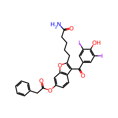 NC(=O)CCCCc1oc2cc(OC(=O)Cc3ccccc3)ccc2c1C(=O)c1cc(I)c(O)c(I)c1